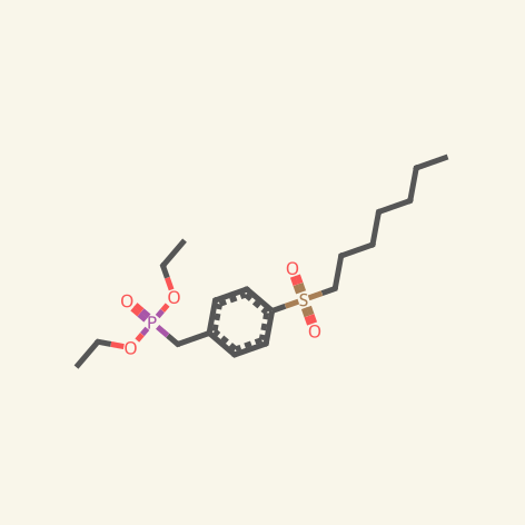 CCCCCCCS(=O)(=O)c1ccc(CP(=O)(OCC)OCC)cc1